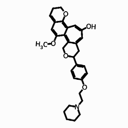 COc1cc2c(c3c1=C1COC(c4ccc(OCCN5CCCCC5)cc4)CC1=CC(O)=C3)OCCC=2